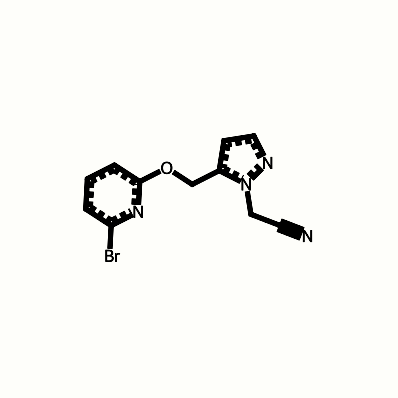 N#CCn1nccc1COc1cccc(Br)n1